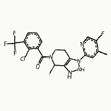 Cc1cc(N2NNC3=C2CCN(C(=O)c2cccc(C(F)(F)F)c2Cl)C3C)ncc1F